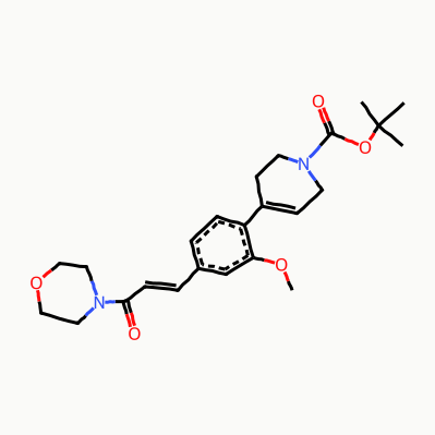 COc1cc(C=CC(=O)N2CCOCC2)ccc1C1=CCN(C(=O)OC(C)(C)C)CC1